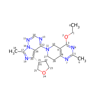 CCOc1nc(C)nc2c1CN(c1ncnn3c(C)nc([C@@H]4CCOC4)c13)CC2